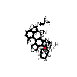 CN(C)C=Nc1oc2ccc(F)c(-c3c4c(c5c(N6C7CCC6CN(C(=O)O)C7)ncnc5c3F)COC4)c2c1C#N